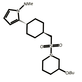 CNn1cccc1[C@H]1CC[C@H](CS(=O)(=O)N2CCCC(OCC(C)C)C2)CC1